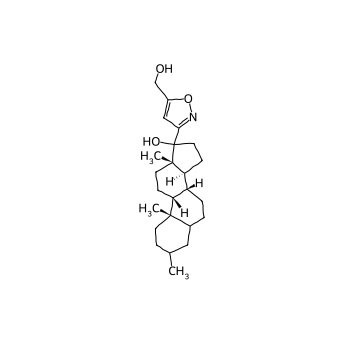 CC1CC[C@@]2(C)C(CC[C@@H]3[C@H]2CC[C@@]2(C)[C@H]3CCC2(O)c2cc(CO)on2)C1